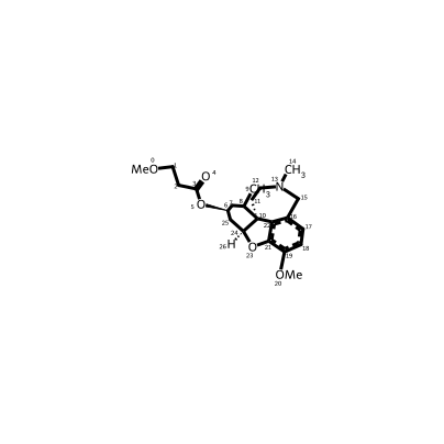 COCCC(=O)O[C@H]1CC(C)[C@@]23CCN(C)Cc4ccc(OC)c(c42)O[C@H]3C1